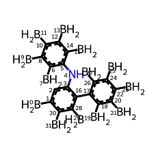 Bc1cc(Nc2c(B)c(B)c(B)c(B)c2B)c(-c2c(B)c(B)c(B)c(B)c2B)c(B)c1B